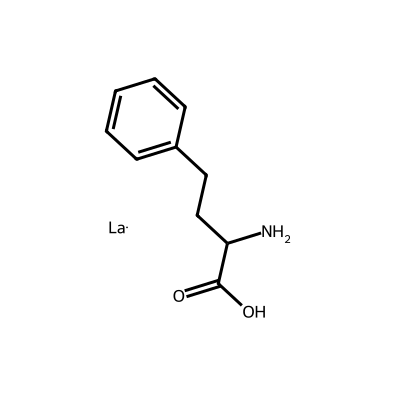 NC(CCc1ccccc1)C(=O)O.[La]